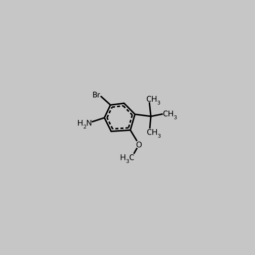 COc1cc(N)c(Br)cc1C(C)(C)C